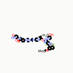 CCc1c(F)ccc2cc(OCOC)cc(-c3ncc4c(N5CCC[C@@](C)(O)C5)nc(OCC5(CN6CCC(N7CC(N8CCN(c9ccc%10c(c9)CN([C@H]9CCC(=O)NC9=O)C%10=O)CC8)C7)CC6)CC5)nc4c3F)c12